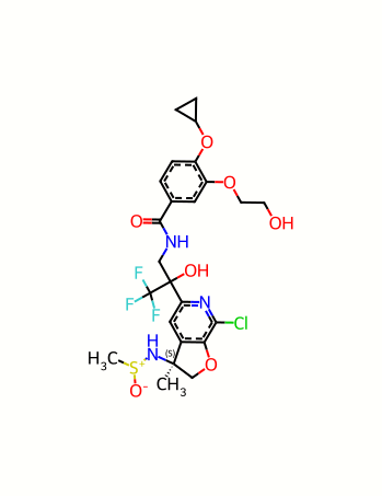 C[S+]([O-])N[C@]1(C)COc2c1cc(C(O)(CNC(=O)c1ccc(OC3CC3)c(OCCO)c1)C(F)(F)F)nc2Cl